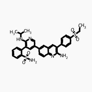 CCS(=O)(=O)c1ccc(-c2cc3cc(-c4cnc(NC(C)C)c(-c5ccccc5S(N)(=O)=O)c4)ccc3nc2N)cc1